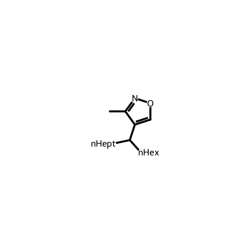 CCCCCCCC(CCCCCC)c1conc1C